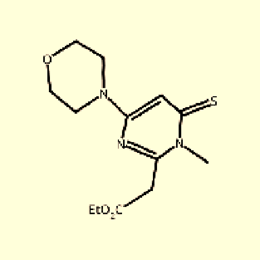 CCOC(=O)Cc1nc(N2CCOCC2)cc(=S)n1C